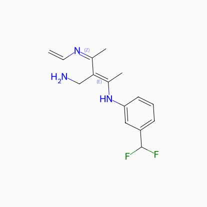 C=C/N=C(C)\C(CN)=C(/C)Nc1cccc(C(F)F)c1